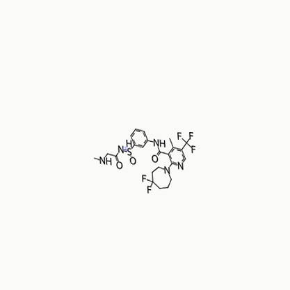 CNCC(=O)/N=[SH](=O)/c1cccc(NC(=O)c2c(N3CCCC(F)(F)CC3)ncc(C(F)(F)F)c2C)c1